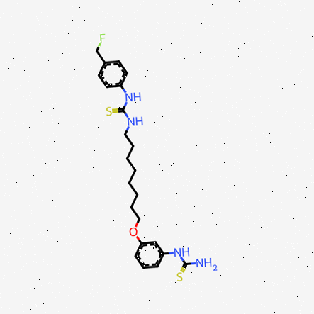 NC(=S)Nc1cccc(OCCCCCCCCNC(=S)Nc2ccc(CF)cc2)c1